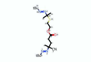 CC(C)(C)/N=N/C(C)(C#N)CCC(=O)OCCSC(C)(C)/N=N/C(C)(C)C